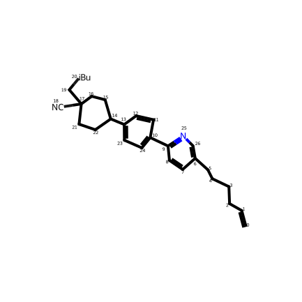 C=CCCCCc1ccc(-c2ccc(C3CCC(C#N)(CC(C)CC)CC3)cc2)nc1